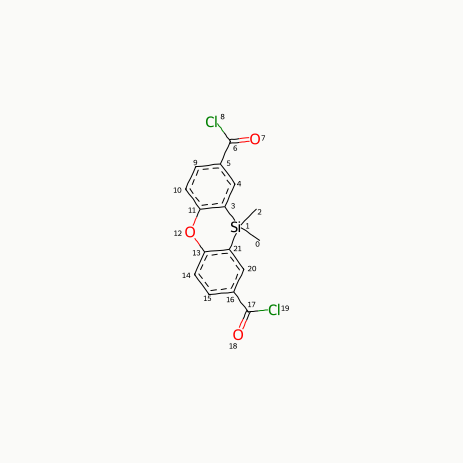 C[Si]1(C)c2cc(C(=O)Cl)ccc2Oc2ccc(C(=O)Cl)cc21